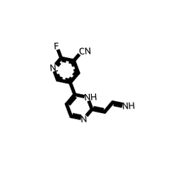 N#Cc1cc(C2=CC=N/C(=C/C=N)N2)cnc1F